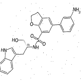 Nc1cccc(-c2cc3c(c(S(=O)(=O)N[C@@H](CO)Cc4c[nH]c5ccccc45)c2)OCC3)c1